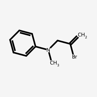 C=C(Br)CN(C)c1ccccc1